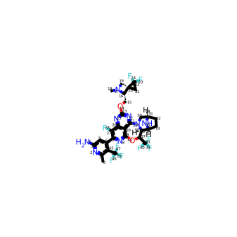 Cc1nc(N)cc(-c2nc3c4c(nc(OC[C@@H]5N(C)C[C@]56CC6(F)F)nc4c2F)N2C[C@H]4CC[C@H](N4)[C@H]2C(C(F)(F)F)O3)c1C(F)(F)F